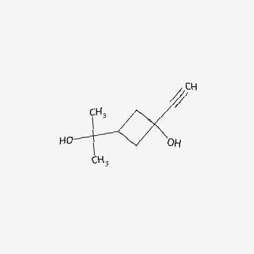 C#CC1(O)CC(C(C)(C)O)C1